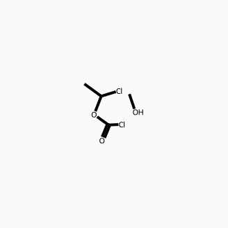 CC(Cl)OC(=O)Cl.CO